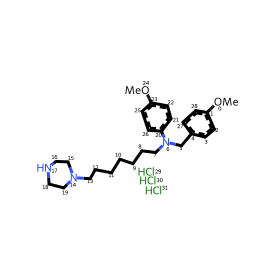 COc1ccc(CN(CCCCCCCN2CCNCC2)c2ccc(OC)cc2)cc1.Cl.Cl.Cl